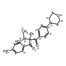 CCC(C(=O)c1ccc(C)cc1)(C(=O)c1ccc(N2CCOCC2)cc1)N(C)C